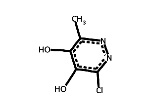 Cc1nnc(Cl)c(O)c1O